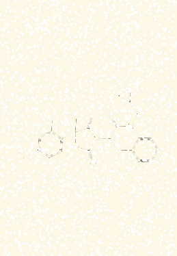 C[C@H](NC(=O)C(Cc1ccccc1)N1C(=O)OC2(CCOc3cc(Br)ccc32)C1=O)C1CC1